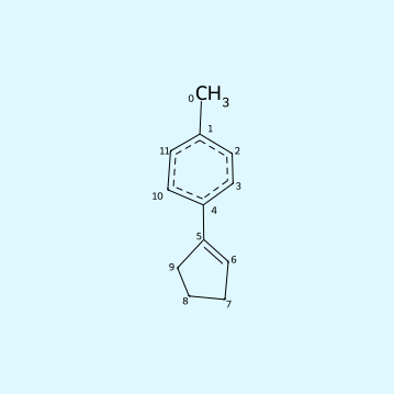 Cc1ccc(C2=CCCC2)cc1